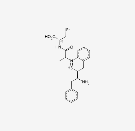 CC(C)C[C@H](NC(=O)C(C)Nc1ccccc1CC(S)C(N)Cc1ccccc1)C(=O)O